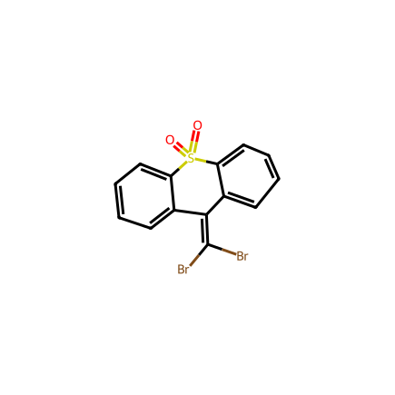 O=S1(=O)c2ccccc2C(=C(Br)Br)c2ccccc21